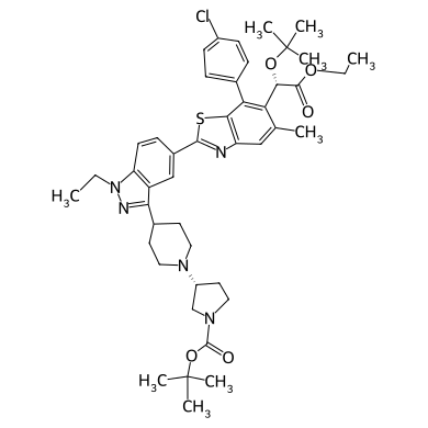 CCOC(=O)[C@@H](OC(C)(C)C)c1c(C)cc2nc(-c3ccc4c(c3)c(C3CCN([C@@H]5CCN(C(=O)OC(C)(C)C)C5)CC3)nn4CC)sc2c1-c1ccc(Cl)cc1